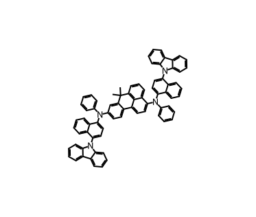 CC1(C)c2cc(N(c3ccccc3)c3ccc(-n4c5ccccc5c5ccccc54)c4ccccc34)ccc2-c2ccc(N(c3ccccc3)c3ccc(-n4c5ccccc5c5ccccc54)c4ccccc34)c3cccc1c23